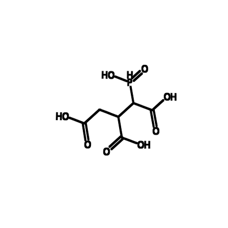 O=C(O)CC(C(=O)O)C(C(=O)O)[PH](=O)O